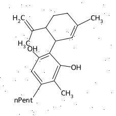 C=C(C)C1CCC(C)=CC1c1c(O)cc(CCCCC)c(C)c1O